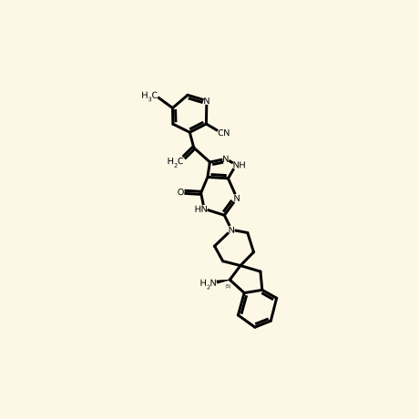 C=C(c1cc(C)cnc1C#N)c1n[nH]c2nc(N3CCC4(CC3)Cc3ccccc3[C@H]4N)[nH]c(=O)c12